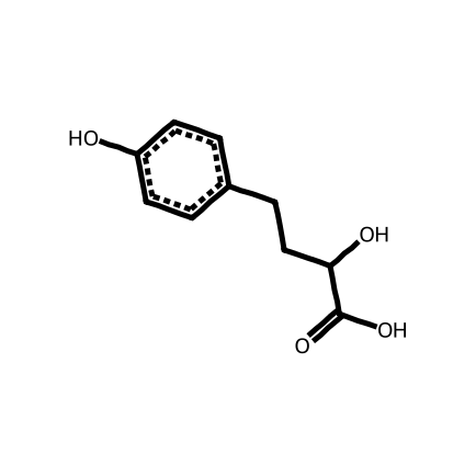 O=C(O)C(O)CCc1ccc(O)cc1